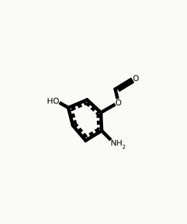 Nc1ccc(O)cc1OC=O